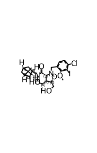 COc1c(CN2O[C@@H](CO)[C@@H]([C@H](C)O)[C@H]2C(=O)N[C@H]2C[C@H]3C[C@@H]([C@@H]2C)C3(C)C)ccc(Cl)c1I